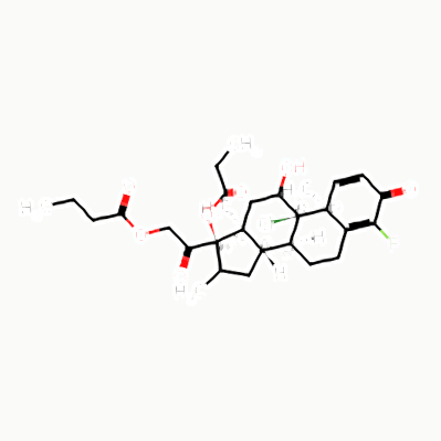 CCCC(=O)OCC(=O)[C@@]1(OC(=O)CC)C(C)C[C@H]2[C@@H]3CCC4=C(F)C(=O)C=C[C@]4(C)[C@@]3(Cl)C(O)C[C@@]21C